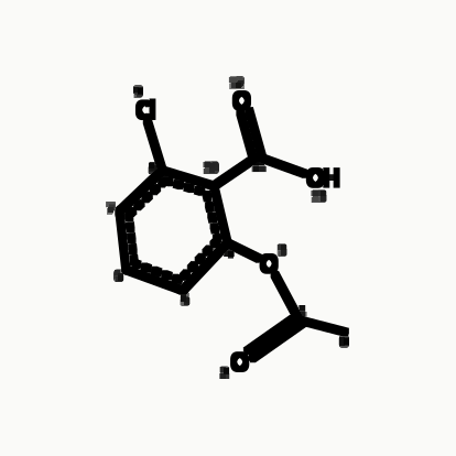 CC(=O)Oc1cccc(Cl)c1C(=O)O